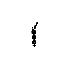 CCCCCOc1ccc(-c2ccc(-c3ccc(C(C)(C)C)cc3)cc2)cc1